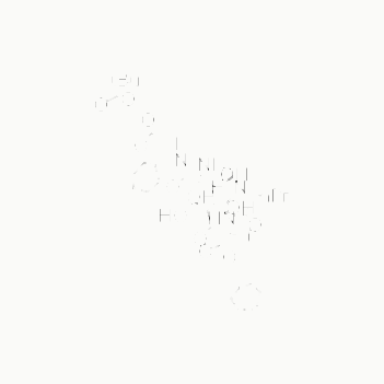 CCC[C@H](N)C(=O)N[C@](CC)(C(=O)OCc1ccccc1)C(=O)[C@@H](CO)[C@@H](O)[C@@H](O)[C@](N)(O)C(=O)N[C@@H](CC(=O)OCOC(=O)C(C)(C)C)c1ccccc1